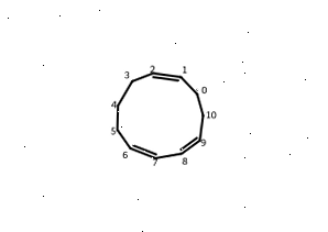 [CH]1/C=C\CCC/C=C\C=C/C1